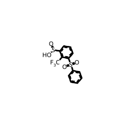 O=S(O)c1cccc(S(=O)(=O)c2ccccc2)c1C(F)(F)F